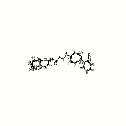 O=C(CCCc1ccc(-c2ccccc2F)cc1)Nc1ccc2[nH]ncc2c1